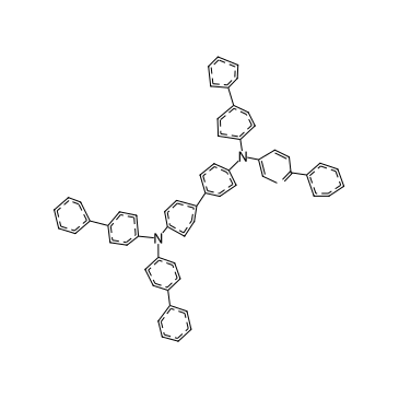 C=C(/C=C\C(=C/C)N(c1ccc(-c2ccccc2)cc1)c1ccc(-c2ccc(N(c3ccc(-c4ccccc4)cc3)c3ccc(-c4ccccc4)cc3)cc2)cc1)c1ccccc1